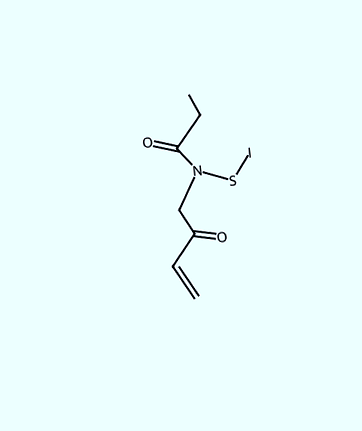 C=CC(=O)CN(SI)C(=O)CC